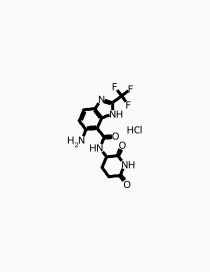 Cl.Nc1ccc2nc(C(F)(F)F)[nH]c2c1C(=O)NC1CCC(=O)NC1=O